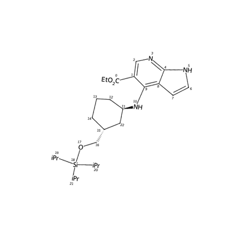 CCOC(=O)c1cnc2[nH]ccc2c1N[C@@H]1CCC[C@@H](CO[Si](C(C)C)(C(C)C)C(C)C)C1